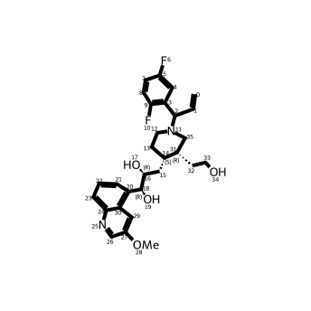 C=CC(c1cc(F)ccc1F)N1CC[C@@H](C[C@@H](O)[C@H](O)c2cccc3ncc(OC)cc23)[C@@H](CCO)C1